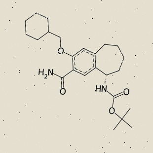 CC(C)(C)OC(=O)N[C@H]1CCCCc2cc(OCC3CCCCC3)c(C(N)=O)cc21